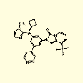 Cn1cnnc1[C@H](c1cc(-c2ccnnc2)cc(-n2cc3c(C(F)(F)F)cccn3c2=O)c1)C1CCC1